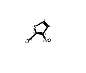 O=Nc1ccsc1Cl